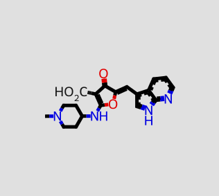 CN1CCC(NC2=C(C(=O)O)C(=O)C(=Cc3c[nH]c4ncccc34)O2)CC1